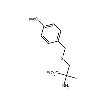 CCOC(=O)C(C)(N)CSCc1ccc(OC)cc1